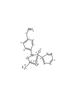 NCc1ccc(N(OC(=O)C(F)(F)F)S(=O)(=O)c2ccccc2)cc1